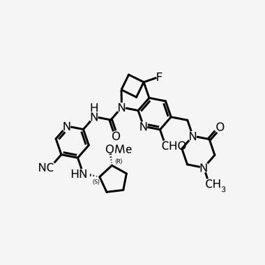 CO[C@@H]1CCC[C@@H]1Nc1cc(NC(=O)N2c3nc(C=O)c(CN4CCN(C)CC4=O)cc3C3(F)CC2C3)ncc1C#N